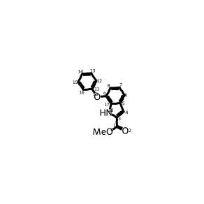 COC(=O)c1cc2cccc(Oc3ccccc3)c2[nH]1